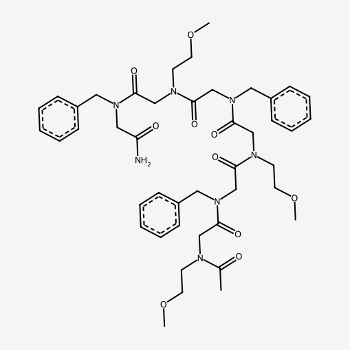 COCCN(CC(=O)N(CC(=O)N(CCOC)CC(=O)N(CC(=O)N(CCOC)CC(=O)N(CC(N)=O)Cc1ccccc1)Cc1ccccc1)Cc1ccccc1)C(C)=O